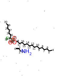 C=CCN.CCCCCCCCCCCCCCCOS(=O)(=O)C(F)CCCCCC